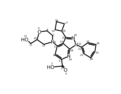 O=C(O)c1cc(N2CCOC(CO)C2)c2c(C3CCC3)nn(-c3ccccc3)c2n1